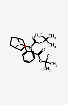 CC(C)(C)OC(=O)CN(C(=O)OC(C)(C)C)C1CC2CCC(C1)N2Cc1ccccc1